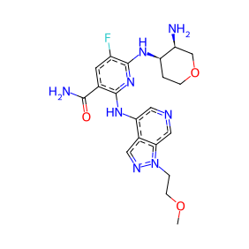 COCCn1ncc2c(Nc3nc(N[C@@H]4CCOC[C@@H]4N)c(F)cc3C(N)=O)cncc21